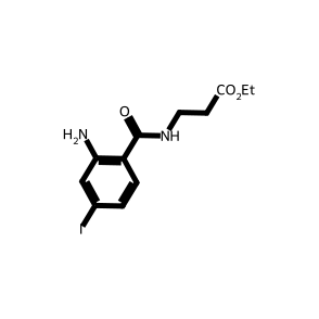 CCOC(=O)CCNC(=O)c1ccc(I)cc1N